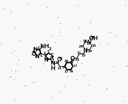 Nc1nonc1-c1csc(NC(=O)Cc2cccc(OCCCN3CCN(O)CC3)c2)n1